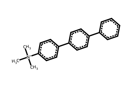 C[N+](C)(C)c1ccc(-c2ccc(-c3ccccc3)cc2)cc1